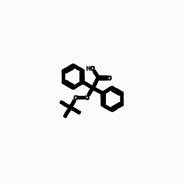 CC(C)(C)OOC(C(=O)O)(c1ccccc1)c1ccccc1